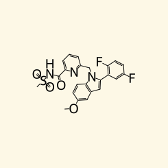 COc1ccc2c(c1)cc(-c1cc(F)ccc1F)n2Cc1cccc(C(=O)NS(C)(=O)=O)n1